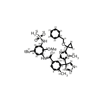 COc1c(NC(=O)c2ccc(C)c(C3(c4cnc(C5(OCc6ccccc6)CC5)n4C)C=NN=N3)c2)cc(C(C)(C)C)cc1NS(C)(=O)=O